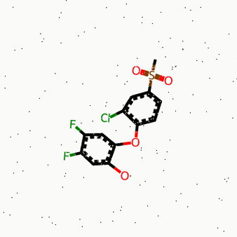 CS(=O)(=O)c1ccc(Oc2cc(F)c(F)cc2[O])c(Cl)c1